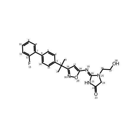 CC(C)(c1ccc(-c2ccccc2F)cc1)c1cc(/N=C2\NC(=O)CN2CCO)on1